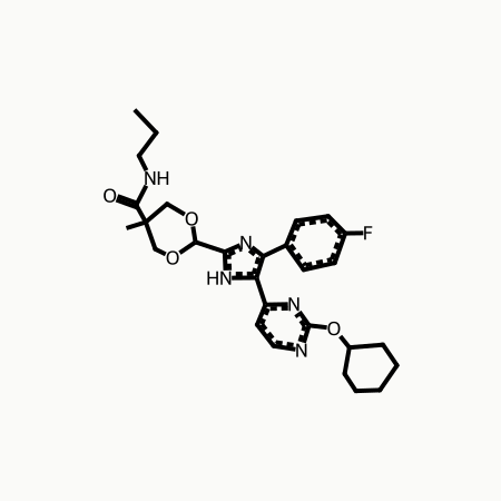 CCCNC(=O)C1(C)COC(c2nc(-c3ccc(F)cc3)c(-c3ccnc(OC4CCCCC4)n3)[nH]2)OC1